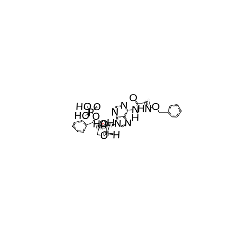 C[C@H](NOCc1ccccc1)C(=O)Nc1ncnc2c1ncn2[C@@H]1O[C@]2(C(OP(=O)(O)O)c3ccccc3)CO[C@@H]1[C@@H]2O